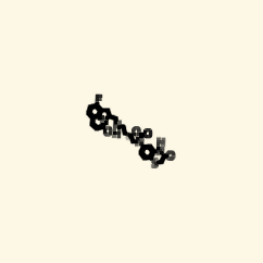 O=C1CSc2ccc(N3C[C@@H](CCNCC4Cc5c(F)ccc6ccc(=O)n4c56)OC3=O)cc2N1